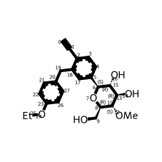 C#Cc1ccc([C@@H]2O[C@H](CO)[C@@H](OC)[C@H](O)[C@H]2O)cc1Cc1ccc(OCC)cc1